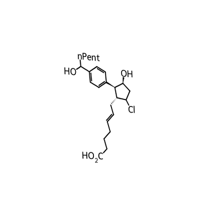 CCCCCC(O)c1ccc([C@H]2[C@@H](O)CC(Cl)[C@@H]2CC=CCCCC(=O)O)cc1